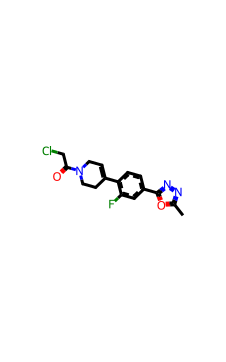 Cc1nnc(-c2ccc(C3=CCN(C(=O)CCl)CC3)c(F)c2)o1